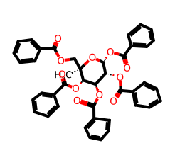 C[C@]1(COC(=O)c2ccccc2)O[C@H](OC(=O)c2ccccc2)[C@H](OC(=O)c2ccccc2)[C@@H](OC(=O)c2ccccc2)[C@@H]1OC(=O)c1ccccc1